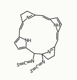 S=C=NC1c2ccc([nH]2)C=C2CCC(=N2)C=c2ccc([nH]2)=CC2=NC1(N=C=S)CC2